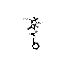 CC1(C)[C@H](C(=O)O)N2C(=O)[C@@H](NC(=O)OCc3ccccc3)[C@H]2[S+]1[O-]